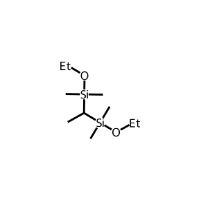 CCO[Si](C)(C)C(C)[Si](C)(C)OCC